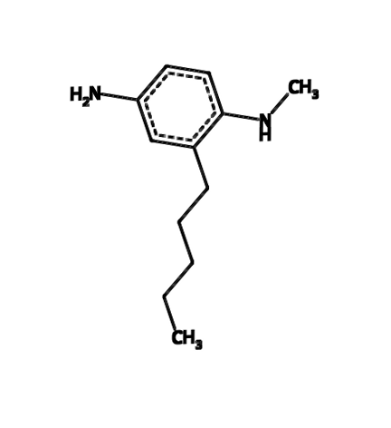 CCCCCc1cc(N)ccc1NC